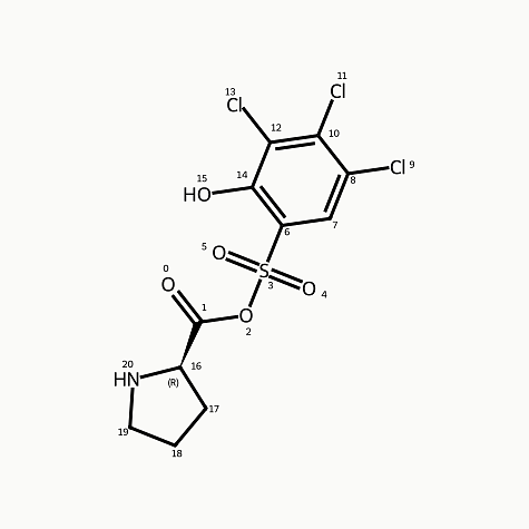 O=C(OS(=O)(=O)c1cc(Cl)c(Cl)c(Cl)c1O)[C@H]1CCCN1